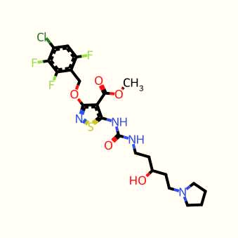 COC(=O)c1c(OCc2c(F)cc(Cl)c(F)c2F)nsc1NC(=O)NCCC(O)CCN1CCCC1